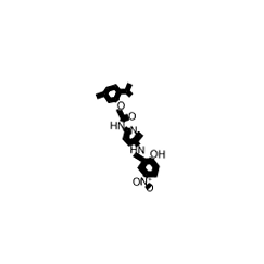 CC1CCC(C(C)C)C(OCC(=O)Nc2ccc(NCc3cc([N+](=O)[O-])ccc3O)cn2)C1